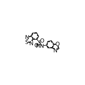 O=S(=O)(Nc1ccc2ocnc2c1)c1cccc2nsnc12